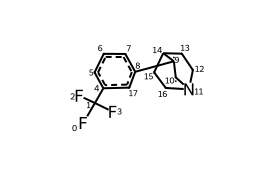 FC(F)(F)c1cccc([C]2[CH]N3CCC2CC3)c1